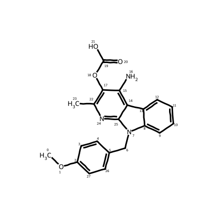 COc1ccc(Cn2c3ccccc3c3c(N)c(OC(=O)O)c(C)nc32)cc1